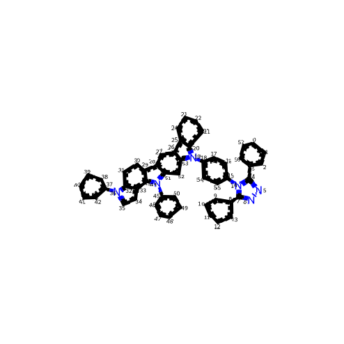 c1ccc(-c2nnc(-c3ccccc3)n2-c2ccc(-n3c4ccccc4c4cc5c6ccc7c(ccn7-c7ccccc7)c6n(-c6ccccc6)c5cc43)cc2)cc1